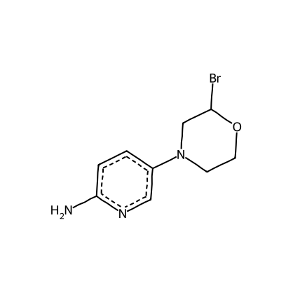 Nc1ccc(N2CCOC(Br)C2)cn1